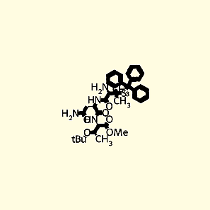 COC(=O)[C@@H](NC(=O)[C@H](CC(N)=O)NC(=O)[C@@H](N)C(C)(C)SC(c1ccccc1)(c1ccccc1)c1ccccc1)[C@@H](C)OC(C)(C)C